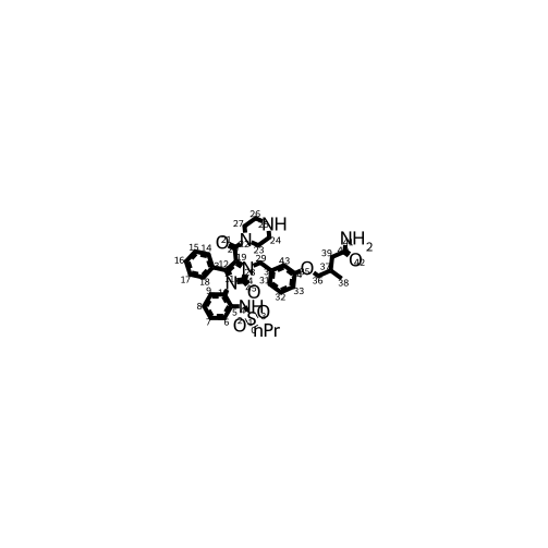 CCCS(=O)(=O)Nc1ccccc1-n1c(-c2ccccc2)c(C(=O)N2CCNCC2)n(Cc2cccc(OCC(C)CC(N)=O)c2)c1=O